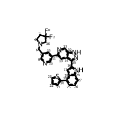 FC1(F)CCN(Cc2cncc(-c3cc4c(-c5cc6c(-c7cccs7)cccc6[nH]5)n[nH]c4cn3)c2)C1